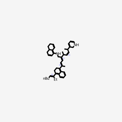 CCCC/C=C(\CC)C1=c2ccccc2=C(/C(C)=C/C=C(\CNC2=C3C=CCCC3CC=C2)C(C)/C=C\C(C)C2=CC=CNC2)CC1